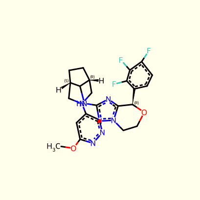 COc1cc(N2C[C@H]3CC[C@@H](C2)C3Nc2nc3n(n2)CCO[C@@H]3c2ccc(F)c(F)c2F)cnn1